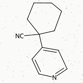 N#CC1(c2ccncc2)CCCCC1